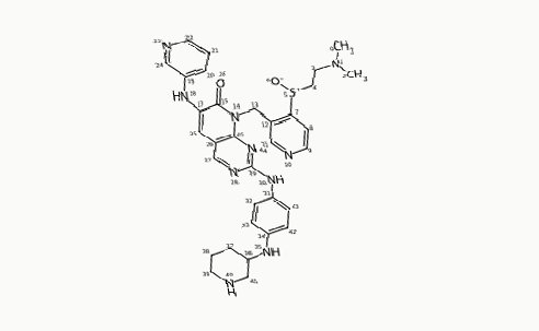 CN(C)CC[S+]([O-])c1ccncc1Cn1c(=O)c(Nc2cccnc2)cc2cnc(Nc3ccc(NC4CCCNC4)cc3)nc21